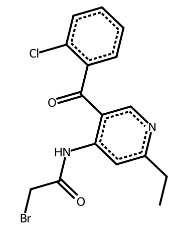 CCc1cc(NC(=O)CBr)c(C(=O)c2ccccc2Cl)cn1